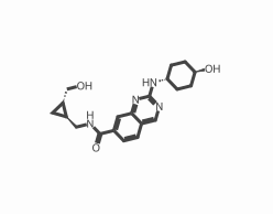 O=C(NC[C@H]1C[C@@H]1CO)c1ccc2cnc(N[C@H]3CC[C@H](O)CC3)nc2c1